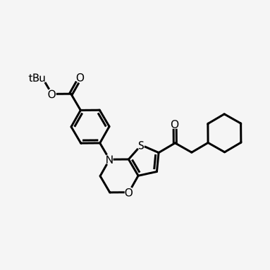 CC(C)(C)OC(=O)c1ccc(N2CCOc3cc(C(=O)CC4CCCCC4)sc32)cc1